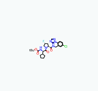 CC(C)(C)OC(=O)N[C@@H](C(=O)N1C[C@H](F)C[C@H]1C(=O)NCc1cc(Cl)ccc1-n1cncn1)C1CCCC1